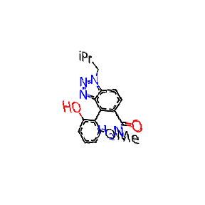 COc1cccc(O)c1-c1c(C(N)=O)ccc2c1nnn2CC(C)C